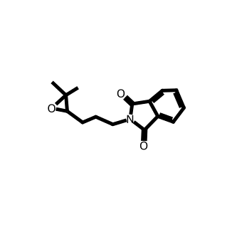 CC1(C)OC1CCCN1C(=O)c2ccccc2C1=O